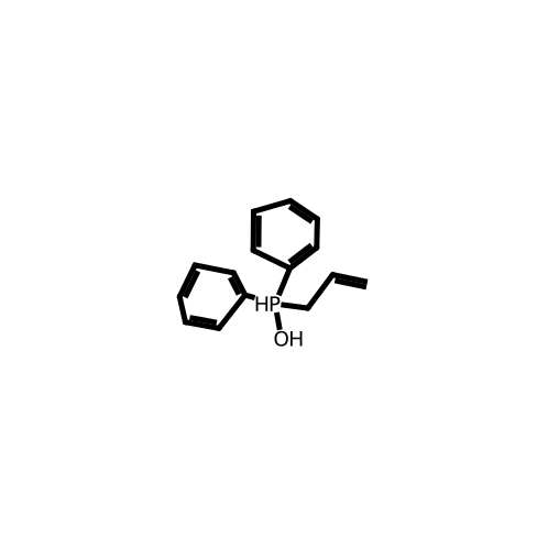 C=CC[PH](O)(c1ccccc1)c1ccccc1